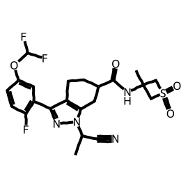 CC(C#N)n1nc(-c2cc(OC(F)F)ccc2F)c2c1CC(C(=O)NC1(C)CS(=O)(=O)C1)CC2